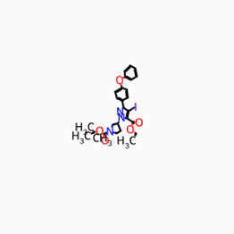 CCOC(=O)c1c(I)c(-c2ccc(Oc3ccccc3)cc2)nn1C1CCN(C(=O)OC(C)(C)C)C1